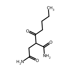 CCCCC(=O)C(CC(N)=O)C(N)=O